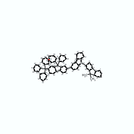 CC1(C)c2ccccc2-c2ccc(-n3c4ccccc4c4cc(-c5ccc6c(c5)C(c5ccccc5)(c5ccccc5)c5cc(C(c7ccccc7)(c7ccccc7)c7ccccc7)ccc5-6)ccc43)cc21